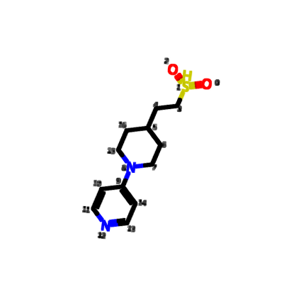 O=[SH](=O)CCC1CCN(c2ccncc2)CC1